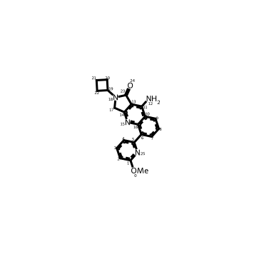 COc1cccc(-c2cccc3c(N)c4c(nc23)CN(C2CCC2)C4=O)n1